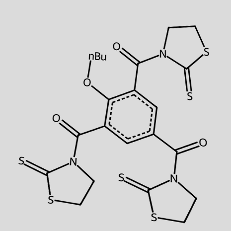 CCCCOc1c(C(=O)N2CCSC2=S)cc(C(=O)N2CCSC2=S)cc1C(=O)N1CCSC1=S